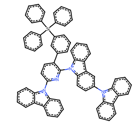 c1ccc([Si](c2ccccc2)(c2ccccc2)c2cccc(-c3ccc(-n4c5ccccc5c5ccccc54)nc3-n3c4ccccc4c4cc(-n5c6ccccc6c6ccccc65)ccc43)c2)cc1